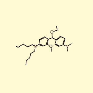 CCCCCN(CCCCC)c1ccc(C(OCC)c2ccc(N(C)C)cc2)c(OC)c1